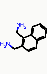 NCc1ccc2ccccc2c1CN